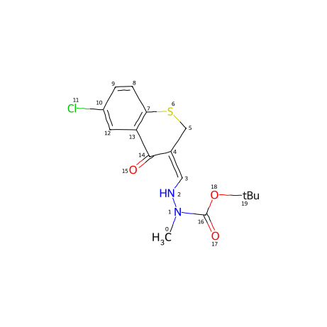 CN(NC=C1CSc2ccc(Cl)cc2C1=O)C(=O)OC(C)(C)C